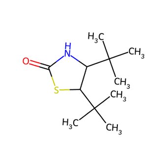 CC(C)(C)C1NC(=O)SC1C(C)(C)C